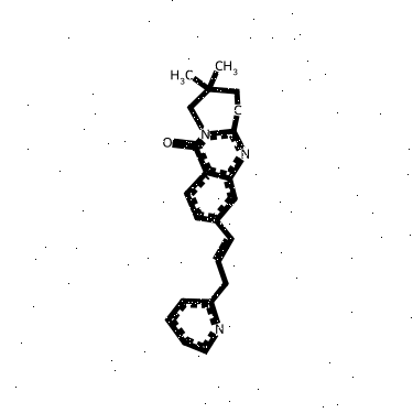 CC1(C)CCc2nc3cc(C=CCc4ccccn4)ccc3c(=O)n2C1